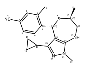 Cc1cc(C#N)ccc1[C@@H]1S[C@@H](C)CNc2c1c(C1CC1)nn2C